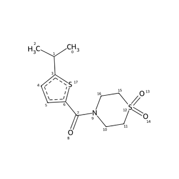 CC(C)c1ccc(C(=O)N2CCS(=O)(=O)CC2)s1